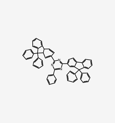 C1=CC2c3ccccc3C(c3ccccc3)(c3ccccc3)C2C=C1c1nc(-c2ccccc2)nc(-c2ccc3c(c2)C(c2ccccc2)(c2ccccc2)c2ccccc2-3)n1